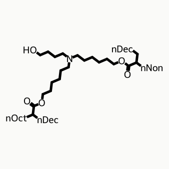 CCCCCCCCCCCC(CCCCCCCCC)C(=O)OCCCCCCN(CCCCO)CCCCCCOC(=O)C(CCCCCCCC)CCCCCCCCCC